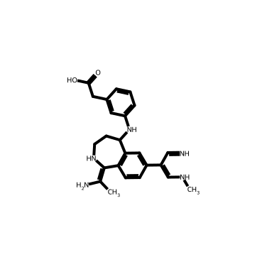 CN/C=C(\C=N)c1ccc2c(c1)C(Nc1cccc(CC(=O)O)c1)CCN/C2=C(/C)N